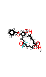 CCCCC(F)(F)C(=O)CC[C@@H]1[C@@H](C/C=C\CCCC(=O)O)[C@@H](O)C[C@H]1OCc1ccccc1